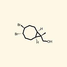 C[C@]1(CO)[C@@H]2CC[C@H](Br)[C@@H](Br)CC[C@@H]21